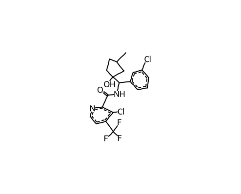 CC1CCC(O)(C(NC(=O)c2nccc(C(F)(F)F)c2Cl)c2cccc(Cl)c2)C1